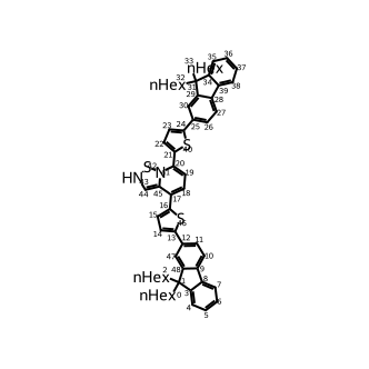 CCCCCCC1(CCCCCC)c2ccccc2-c2ccc(-c3ccc(C4=CC=C(c5ccc(-c6ccc7c(c6)C(CCCCCC)(CCCCCC)c6ccccc6-7)s5)N5SNC=C45)s3)cc21